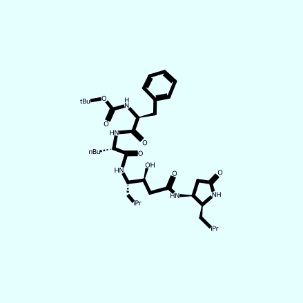 CCCC[C@H](NC(=O)[C@H](Cc1ccccc1)NC(=O)OC(C)(C)C)C(=O)N[C@@H](CC(C)C)[C@@H](O)CC(=O)N[C@H]1CC(=O)N[C@H]1CC(C)C